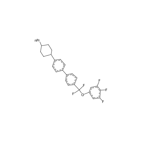 CCCC1CCC(c2ccc(-c3ccc(C(F)(F)Oc4cc(F)c(F)c(F)c4)cc3)cc2)CC1